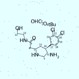 CC(C)(C)OC=O.N[C@@H]1CNC(CC(=O)NCCO)C[C@H]1c1ccc(Cl)c(Cl)c1